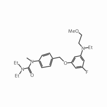 CCN(CC)C(=O)N(C)c1ccc(COc2cc(F)cc(N(CC)CCOC)c2)cc1